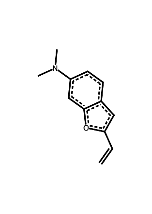 C=Cc1cc2ccc(N(C)C)cc2o1